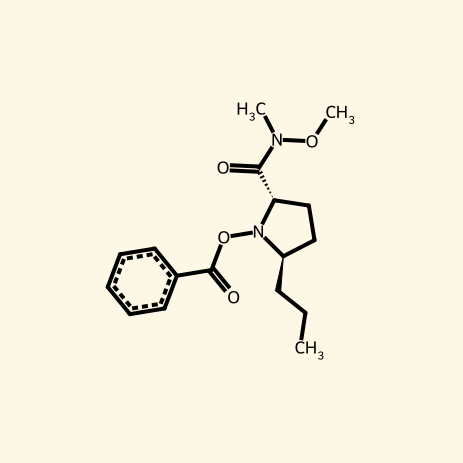 CCC[C@@H]1CC[C@@H](C(=O)N(C)OC)N1OC(=O)c1ccccc1